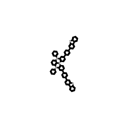 c1ccc(N2c3cc(-c4ccc(-c5ccc6c(c5)sc5ccccc56)cc4)ccc3B3c4ccc(-c5ccc(-c6ccc7c(c6)sc6ccccc67)cc5)cc4N(c4ccccc4)c4cccc2c43)cc1